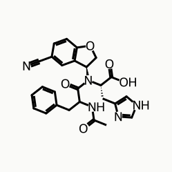 CC(=O)NC(Cc1ccccc1)C(=O)N([C@@H]1COc2ccc(C#N)cc21)[C@@H](Cc1c[nH]cn1)C(=O)O